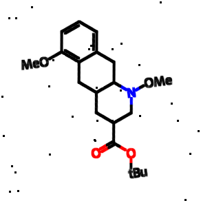 COc1cccc2c1CC1CC(C(=O)OC(C)(C)C)CN(OC)C1C2